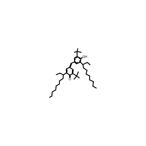 CCCCCCCCC(CC)C1=CC(=Cc2cc(C(CC)CCCCCCCC)c(O)c(C(C)(C)C)c2)C=C(C(C)(C)C)C1=O